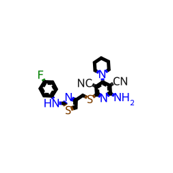 N#Cc1c(N)nc(SCc2csc(Nc3ccc(F)cc3)n2)c(C#N)c1N1CCCCC1